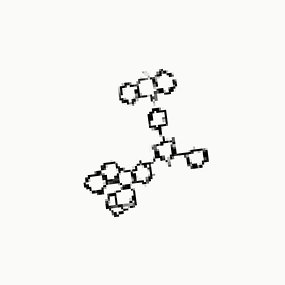 c1ccc(-c2nc(-c3ccc(N4c5ccccc5Oc5ccccc54)cc3)nc(-c3ccc4c(c3)-c3ccc5ccccc5c3C43C4CC5CC(C4)CC3C5)n2)cc1